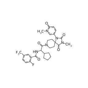 CN1C(=O)N(c2ccc(=O)n(C)c2)C2(CCN(C(=O)C(NC(=O)c3cc(C(F)(F)F)ccc3F)C3CCCC3)CC2)C1=O